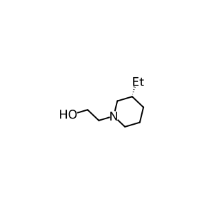 CC[C@@H]1CCCN(CCO)C1